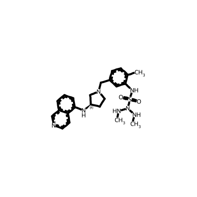 CNN(NC)S(=O)(=O)Nc1cc(CN2CC[C@@H](Nc3cccc4cnccc34)C2)ccc1C